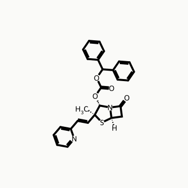 C[C@@]1(/C=C/c2ccccn2)S[C@@H]2CC(=O)N2[C@H]1OC(=O)OC(c1ccccc1)c1ccccc1